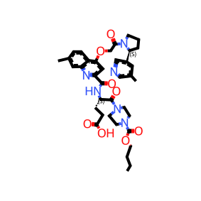 CCCCOC(=O)N1CCN(C(=O)[C@H](CCC(=O)O)NC(=O)c2cc(OCC(=O)N3CCC[C@H]3c3cncc(C)c3)c3ccc(C)cc3n2)CC1